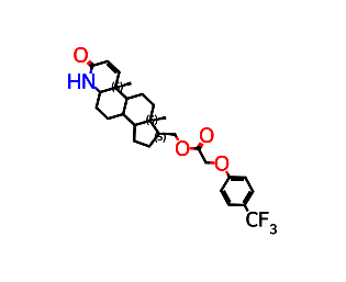 C[C@]12C=CC(=O)NC1CCC1C2CC[C@@]2(C)C1CC[C@@H]2COC(=O)COc1ccc(C(F)(F)F)cc1